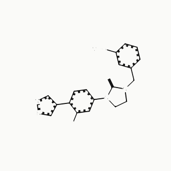 COc1cccc(CN2CCN(c3ccc(-c4cn[nH]c4)c(F)c3)C2=O)c1